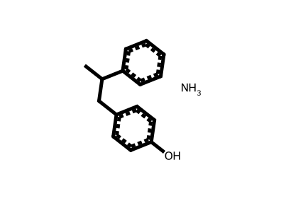 CC(Cc1ccc(O)cc1)c1ccccc1.N